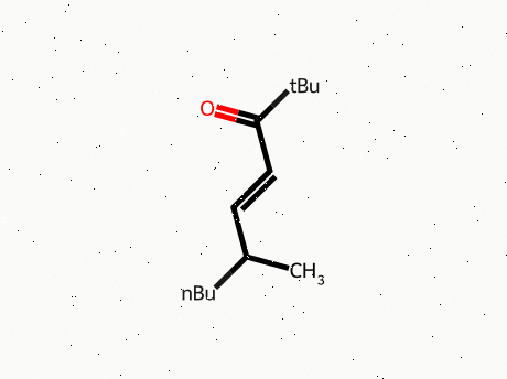 CCCCC(C)/C=C/C(=O)C(C)(C)C